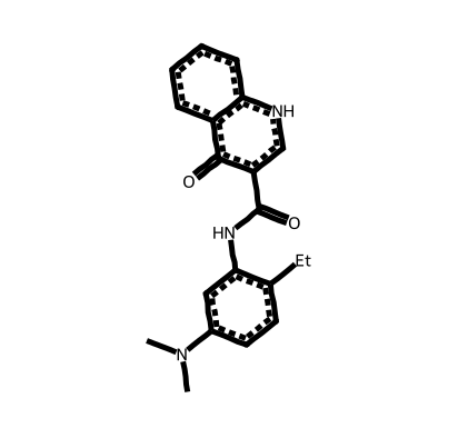 CCc1ccc(N(C)C)cc1NC(=O)c1c[nH]c2ccccc2c1=O